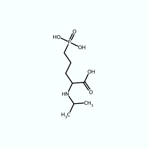 CC(C)NC(CCCP(=O)(O)O)C(=O)O